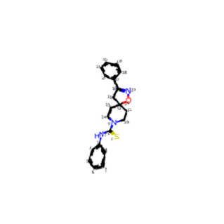 S=C(Nc1ccccc1)N1CCC2(CC1)CC(c1ccccc1)=NO2